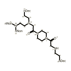 CCCCCCCCCCCCNCC(=O)N1CCN(C(=O)CN(CCCCCCCCCCCC)CCN(CCCCCCCCC)CCCCCCCCC)CC1